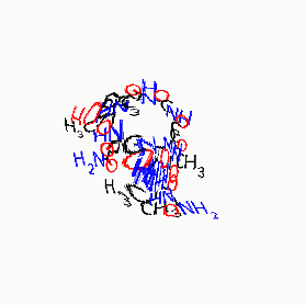 CCC(C)C1NC[C@@](C=O)(Cc2ccc(O)cc2)NC(=O)CNC(=O)CC[C@@H](C(=O)N(C)CC(=O)N[C@@H](CCC(C)C)C(=O)NCC(N)=O)NC(=O)[C@H](CC(N)=O)NC[C@@](C=O)(CCC(N)=O)NC1=O